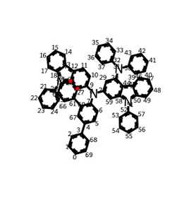 c1ccc(-c2ccc(N(c3ccc4c5ccccc5n(-c5ccccc5)c4c3)c3cc(N(c4ccccc4)c4ccccc4)c4c5ccccc5n(-c5ccccc5)c4c3)c(-c3ccccc3)c2)cc1